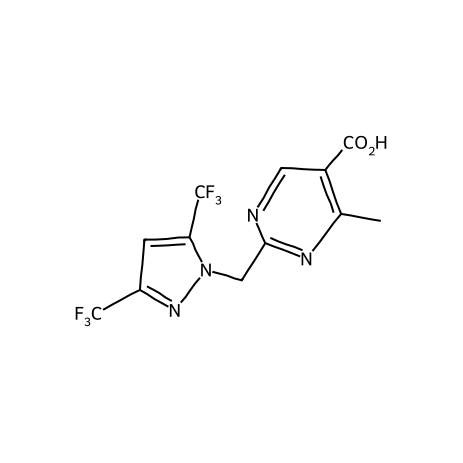 Cc1nc(Cn2nc(C(F)(F)F)cc2C(F)(F)F)ncc1C(=O)O